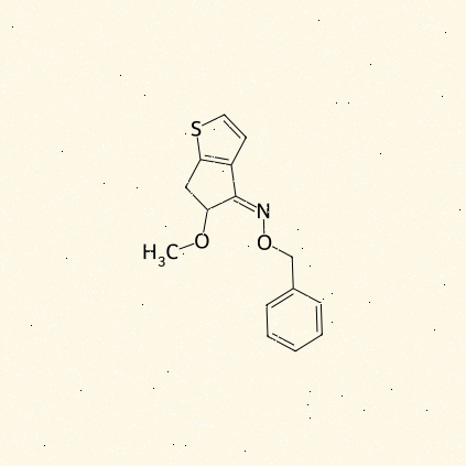 COC1Cc2sccc2/C1=N/OCc1ccccc1